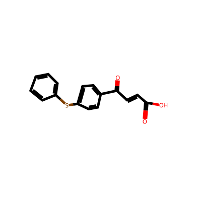 O=C(O)/C=C/C(=O)c1ccc(Sc2ccccc2)cc1